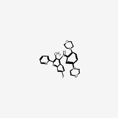 Cc1c(-c2ccccn2)nc2cc(F)ccc2c1Nc1cc(N2CCOCC2)ccc1N1CCOCC1